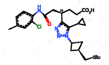 Cc1ccc(NC(=O)C[C@@H](CCC(=O)O)c2nnn([C@H]3C[C@@H](CC(C)(C)C)C3)c2C2CC2)c(Cl)c1